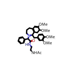 COC1=CC2=C(CC1OC)C(Cc1ccc(OC)c(OC)c1)N(C(C(=O)NCCNC(C)=O)c1ccccc1)CCC2